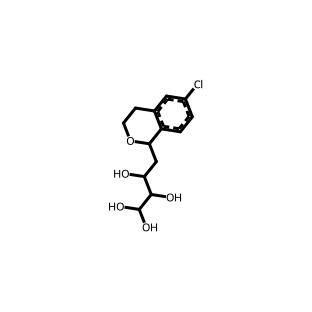 OC(O)C(O)C(O)CC1OCCc2cc(Cl)ccc21